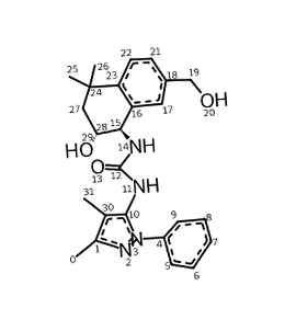 Cc1nn(-c2ccccc2)c(NC(=O)N[C@@H]2c3cc(CO)ccc3C(C)(C)C[C@H]2O)c1C